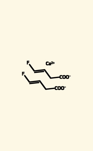 O=C([O-])CC=CF.O=C([O-])CC=CF.[Ca+2]